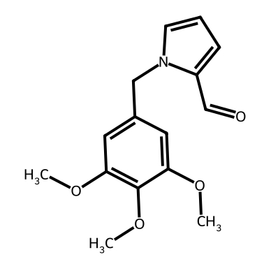 COc1cc(Cn2cccc2C=O)cc(OC)c1OC